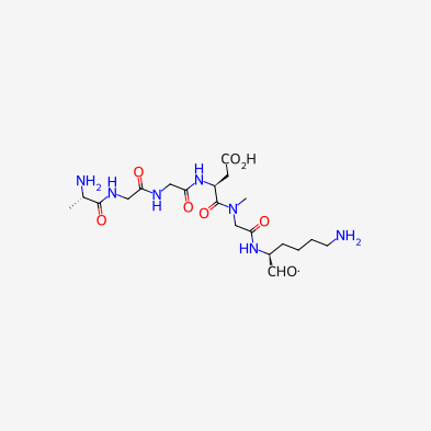 C[C@H](N)C(=O)NCC(=O)NCC(=O)N[C@@H](CC(=O)O)C(=O)N(C)CC(=O)N[C@H]([C]=O)CCCCN